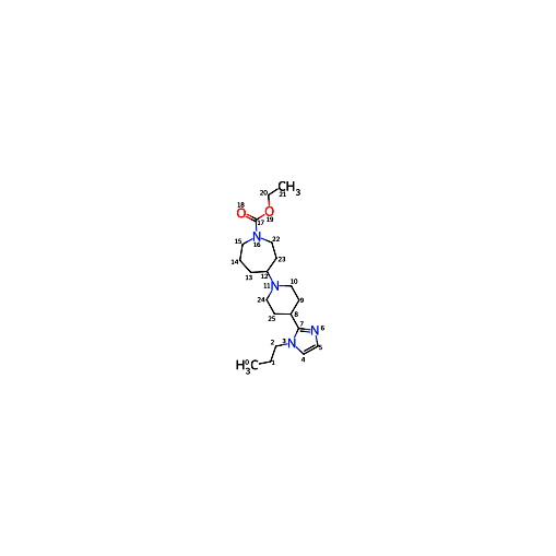 CCCn1ccnc1C1CCN(C2CCCN(C(=O)OCC)CC2)CC1